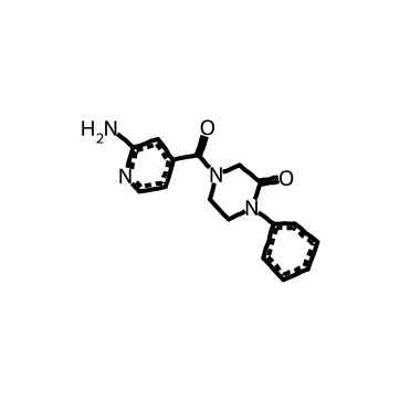 Nc1cc(C(=O)N2CCN(c3ccccc3)C(=O)C2)ccn1